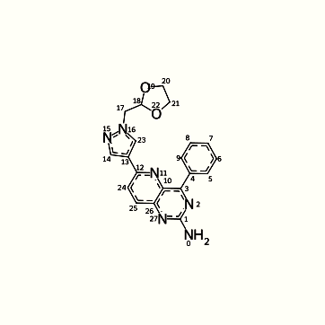 Nc1nc(-c2ccccc2)c2nc(-c3cnn(CC4OCCO4)c3)ccc2n1